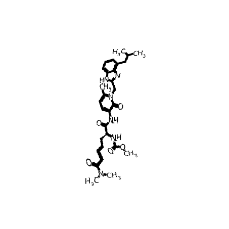 COC(=O)N[C@@H](CC/C=C/C(=O)N(C)C)C(=O)Nc1ccc(C)n(Cc2nc3c(CC(C)C)cccc3[nH]2)c1=O